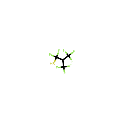 FC(F)(F)C(C(F)(F)F)C(F)(F)S